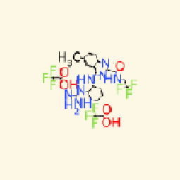 Cc1ccc2nc(C(=O)NCC(F)(F)F)nc(NC3CCCCC3NC(=N)N)c2c1.O=C(O)C(F)(F)F.O=C(O)C(F)(F)F